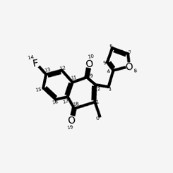 CC1=C(Cc2ccco2)C(=O)c2cc(F)ccc2C1=O